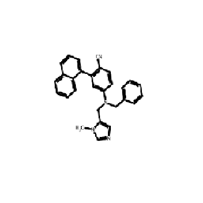 Cn1cncc1CN(Cc1ccccc1)c1ccc(C#N)c(-c2cccc3ccccc23)c1